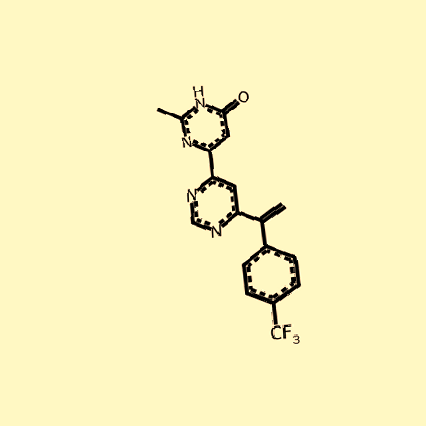 C=C(c1ccc(C(F)(F)F)cc1)c1cc(-c2cc(=O)[nH]c(C)n2)ncn1